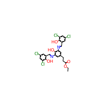 CCOC(=O)CCc1cc(/N=C/c2cc(Cl)cc(Cl)c2O)c(O)c(/N=C/c2cc(Cl)cc(Cl)c2O)c1